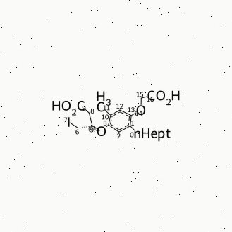 CCCCCCCc1cc(O[C@H](CI)CC(=O)O)c(C)cc1OCC(=O)O